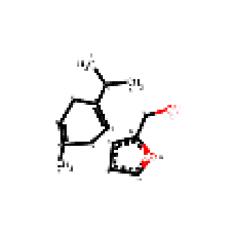 CC1=CCC(C(C)C)=CC1.OCc1ccco1